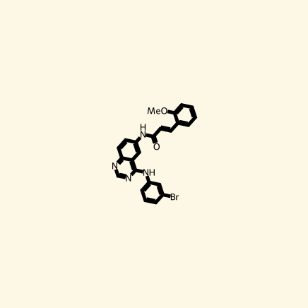 COc1ccccc1C=CC(=O)Nc1ccc2ncnc(Nc3cccc(Br)c3)c2c1